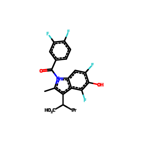 Cc1c(C(C(=O)O)C(C)C)c2c(F)c(O)c(F)cc2n1C(=O)c1ccc(F)c(F)c1